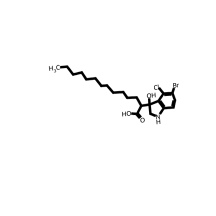 CCCCCCCCCCCCC(C(=O)O)C1(O)CNc2ccc(Br)c(Cl)c21